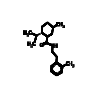 Cc1ccccc1CCNC(=O)[C@@H]1CC(C)CC[C@H]1C(C)C